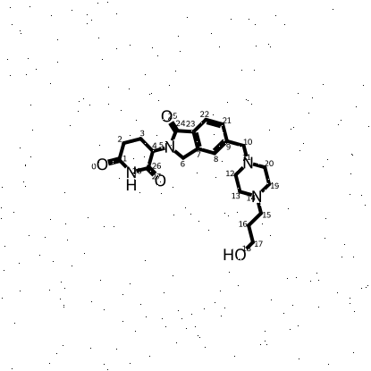 O=C1CCC(N2Cc3cc(CN4CCN(CCCO)CC4)ccc3C2=O)C(=O)N1